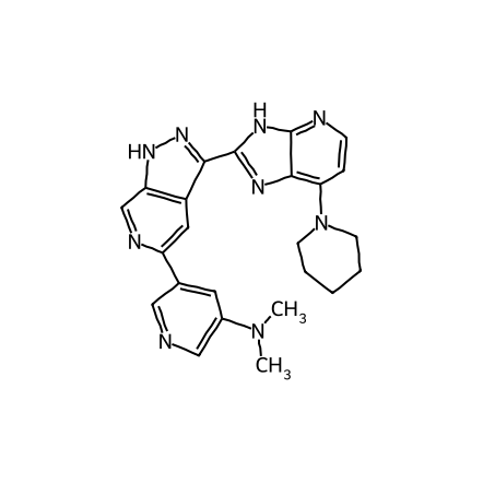 CN(C)c1cncc(-c2cc3c(-c4nc5c(N6CCCCC6)ccnc5[nH]4)n[nH]c3cn2)c1